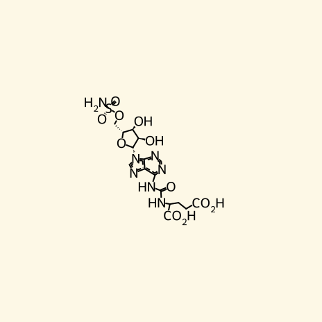 NS(=O)(=O)OC[C@H]1O[C@@H](n2cnc3c(NC(=O)NC(CCC(=O)O)C(=O)O)ncnc32)[C@H](O)[C@@H]1O